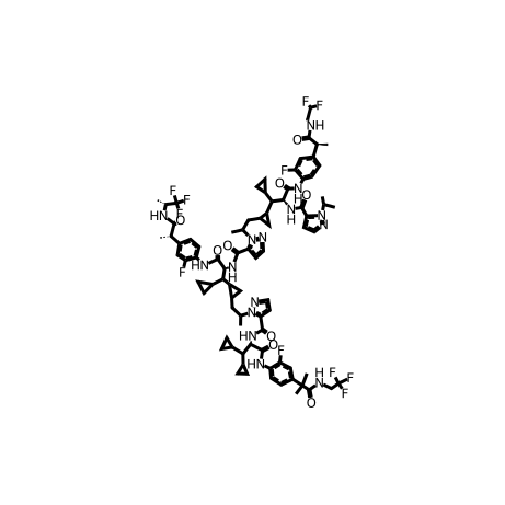 CC(C)n1nccc1C(=O)N[C@H](C(=O)Nc1ccc([C@H](C)C(=O)NCC(F)F)cc1F)C(C1CC1)C1CC1CC(C)n1nccc1C(=O)N[C@H](C(=O)Nc1ccc([C@H](C)C(=O)N[C@H](C)C(F)(F)F)cc1F)C(C1CC1)C1CC1CC(C)n1nccc1C(=O)N[C@H](C(=O)Nc1ccc(C(C)(C)C(=O)NCC(F)(F)F)cc1F)C(C1CC1)C1CC1